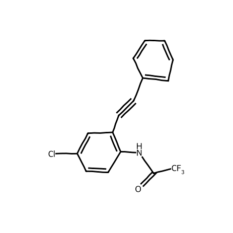 O=C(Nc1ccc(Cl)cc1C#Cc1ccccc1)C(F)(F)F